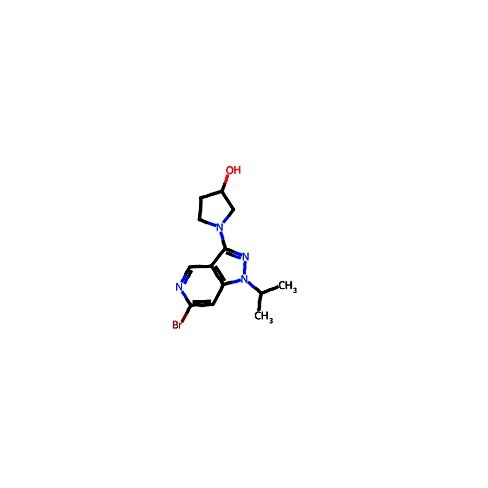 CC(C)n1nc(N2CCC(O)C2)c2cnc(Br)cc21